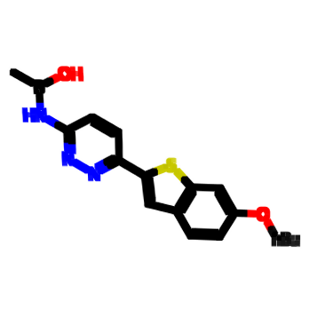 CCCCOc1ccc2cc(-c3ccc(NB(C)O)nn3)sc2c1